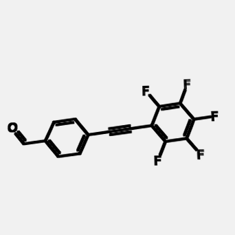 O=Cc1ccc(C#Cc2c(F)c(F)c(F)c(F)c2F)cc1